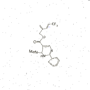 C=C(/C=C/C(F)(F)F)COC(=O)C1=CN=C(c2ccccc2)NC1NC